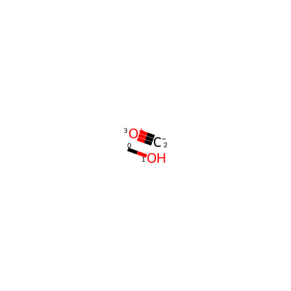 CO.[C-]#[O+]